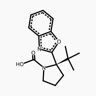 CC(C)(C)[C@@]1(c2nc3ccccc3o2)CCCN1C(=O)O